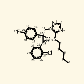 CCCCCSc1ncnn1C[C@]1(c2ccc(F)cc2)O[C@H]1c1ccccc1Cl